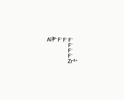 [Al+3].[F-].[F-].[F-].[F-].[F-].[F-].[F-].[Zr+4]